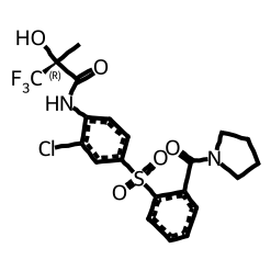 C[C@@](O)(C(=O)Nc1ccc(S(=O)(=O)c2ccccc2C(=O)N2CCCC2)cc1Cl)C(F)(F)F